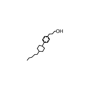 CCCCCC1CCC(c2ccc(CCCO)cc2)CC1